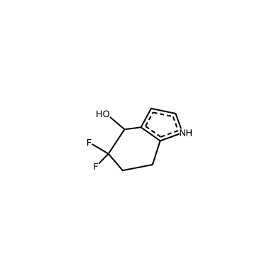 OC1c2cc[nH]c2CCC1(F)F